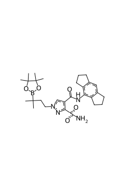 CC(C)(CCn1cc(C(=O)Nc2c3c(cc4c2CCC4)CCC3)c(S(N)(=O)=O)n1)B1OC(C)(C)C(C)(C)O1